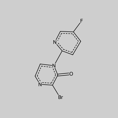 O=c1c(Br)nccn1-c1ccc(F)cn1